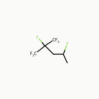 CC(F)CC(F)(C(F)(F)F)C(F)(F)F